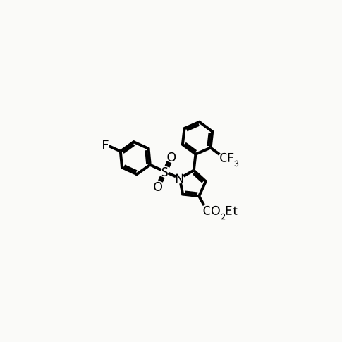 CCOC(=O)c1cc(-c2ccccc2C(F)(F)F)n(S(=O)(=O)c2ccc(F)cc2)c1